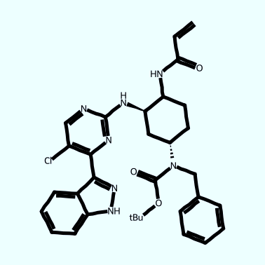 C=CC(=O)NC1CC[C@H](N(Cc2ccccc2)C(=O)OC(C)(C)C)C[C@H]1Nc1ncc(Cl)c(-c2n[nH]c3ccccc23)n1